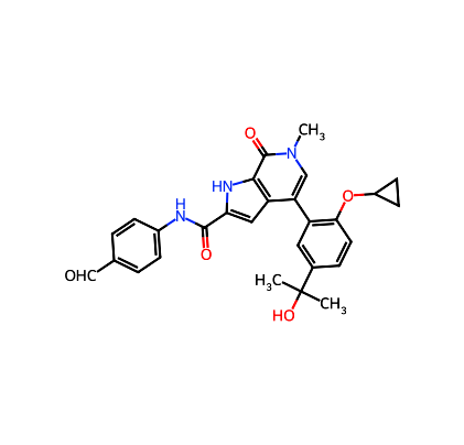 Cn1cc(-c2cc(C(C)(C)O)ccc2OC2CC2)c2cc(C(=O)Nc3ccc(C=O)cc3)[nH]c2c1=O